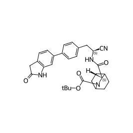 CC(C)(C)OC(=O)N1C2CCC(CC2)[C@H]1C(=O)N[C@H](C#N)Cc1ccc(-c2ccc3c(c2)NC(=O)C3)cc1